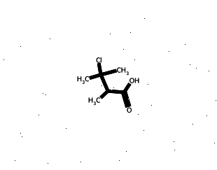 CC(C(=O)O)C(C)(C)Cl